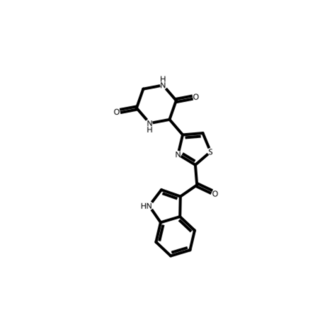 O=C1CNC(=O)C(c2csc(C(=O)c3c[nH]c4ccccc34)n2)N1